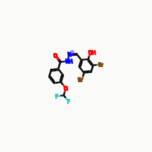 O=C(N/N=C\c1cc(Br)cc(Br)c1O)c1cccc(OC(F)F)c1